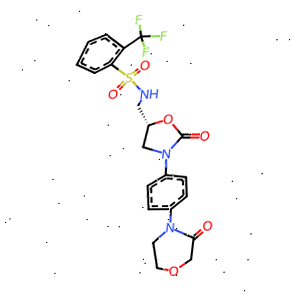 O=C1COCCN1c1ccc(N2C[C@H](CNS(=O)(=O)c3ccccc3C(F)(F)F)OC2=O)cc1